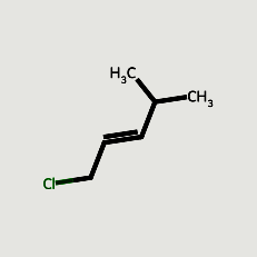 CC(C)C=CCCl